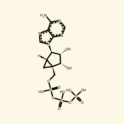 Nc1ncnc2c1ncn2[C@H]1[C@H](O)[C@H](O)[C@]2(COP(=O)(O)OP(=O)(O)OP(=O)(O)O)C[C@H]12